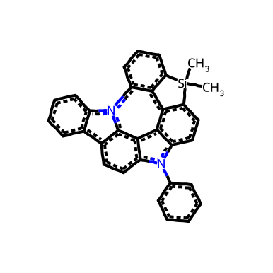 C[Si]1(C)c2ccc3c4c2c2c1cccc2n1c2ccccc2c2ccc(c4c21)n3-c1ccccc1